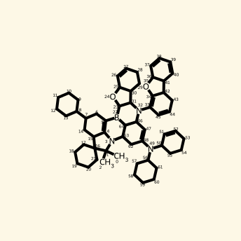 CC1(C)N2C3=C(CC(C4CCCCC4)CC3C13CCCCC3)B1C3OC4C=CCCC4C3N(C3=C4OC5C=CC=CC5C4CC=C3)C3C=C(N(C4C=CCCC4)C4CCCCC4)CC2C13